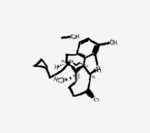 CO.O=C1CC[C@@]2(O)[C@H]3Cc4ccc(O)c5c4[C@@]2(CCN3CC2CC2)[C@H]1O5